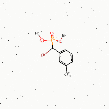 CCOP(=O)(OCC)C(Br)c1cccc(C(F)(F)F)c1